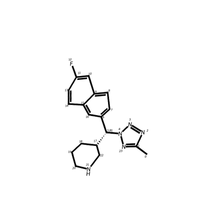 Cc1nnn([C@@H](c2ccc3cc(F)ccc3c2)C2CCCNC2)n1